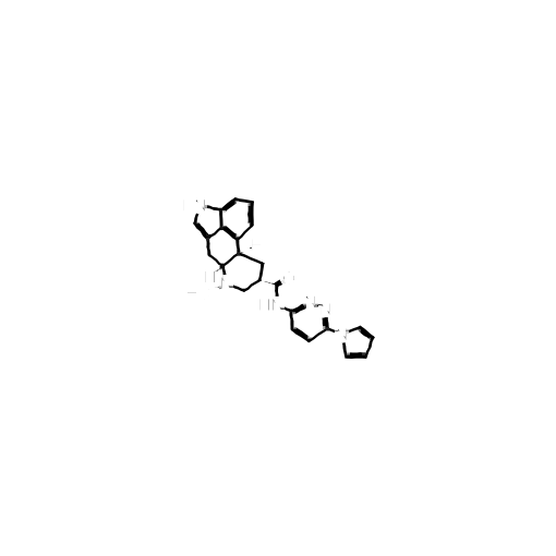 CN1C[C@H](C(=O)Nc2ccc(-n3cccc3)nn2)C[C@@H]2c3cccc4[nH]cc(c34)C[C@H]21